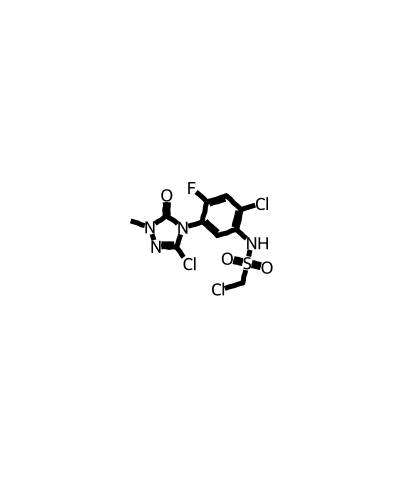 Cn1nc(Cl)n(-c2cc(NS(=O)(=O)CCl)c(Cl)cc2F)c1=O